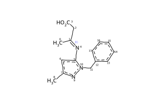 C/C(CC(=O)O)=N\c1cc(C)nn1Cc1ccccc1